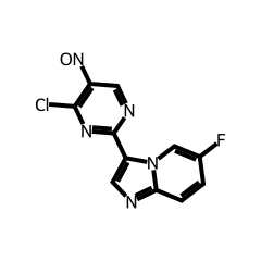 O=Nc1cnc(-c2cnc3ccc(F)cn23)nc1Cl